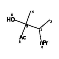 CCCC(C)C(C)(O)C(C)=O